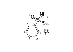 CCc1ccccc1S(N)(=O)=S